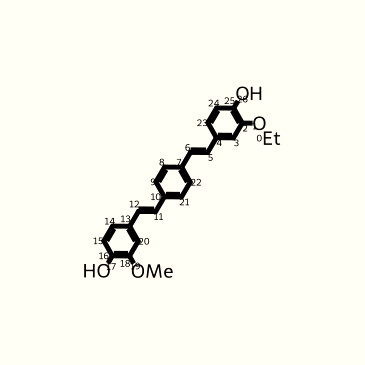 CCOc1cc(/C=C/c2ccc(/C=C/c3ccc(O)c(OC)c3)cc2)ccc1O